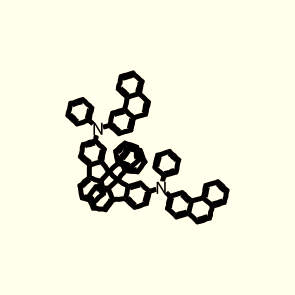 c1ccc(N(c2ccc3c(c2)C(c2ccccc2)(C2(c4ccccc4)c4ccccc4-c4ccc(N(c5ccccc5)c5ccc6ccc7ccccc7c6c5)cc42)c2ccccc2-3)c2ccc3ccc4ccccc4c3c2)cc1